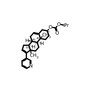 CC(C)OC(=O)O[C@H]1CC[C@@]2(C)C(=CC[C@@H]3[C@@H]2CC[C@]2(C)C(c4cccnc4)=CC[C@@H]32)C1